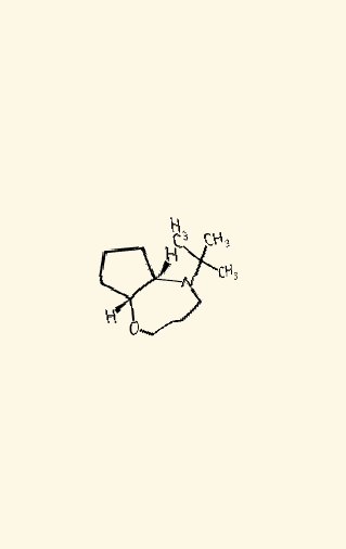 CC(C)(C)N1CCCO[C@@H]2CCC[C@@H]21